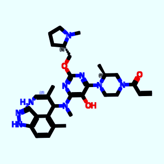 C=CC(=O)N1CCN(c2nc(OC[C@@H]3CCCN3C)nc(N(C)C(/C(C)=C\N)c3c(C)ccc4[nH]ncc34)c2O)[C@@H](C)C1